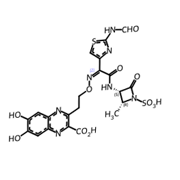 C[C@@H]1[C@H](NC(=O)/C(=N\OCCc2nc3cc(O)c(O)cc3nc2C(=O)O)c2csc(NC=O)n2)C(=O)N1S(=O)(=O)O